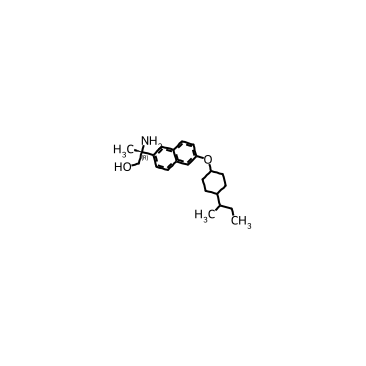 CCC(C)C1CCC(Oc2ccc3cc([C@@](C)(N)CO)ccc3c2)CC1